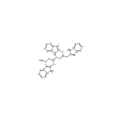 OCCN(CCN(Cc1nc2ccccc2[nH]1)Cc1nc2ccccc2[nH]1)Cc1nc2ccccc2[nH]1